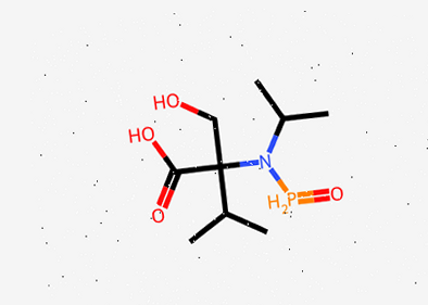 CC(C)N([PH2]=O)C(CO)(C(=O)O)C(C)C